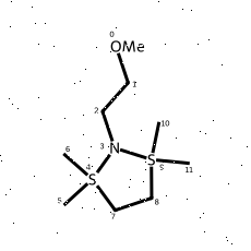 COCCN1S(C)(C)CCS1(C)C